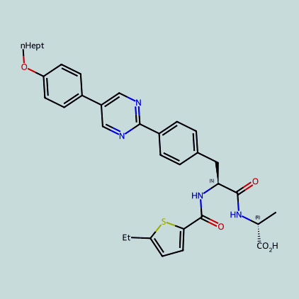 CCCCCCCOc1ccc(-c2cnc(-c3ccc(C[C@H](NC(=O)c4ccc(CC)s4)C(=O)N[C@H](C)C(=O)O)cc3)nc2)cc1